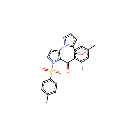 Cc1ccc(S(=O)(=O)n2ccc(-n3cccc3C=O)c2C(=O)c2ccc(C)cc2C)cc1